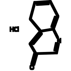 Cl.O=C1C=NC2=CC=CCC2=C1